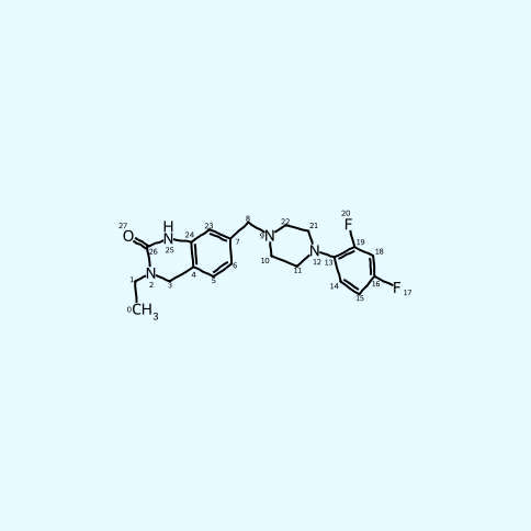 CCN1Cc2ccc(CN3CCN(c4ccc(F)cc4F)CC3)cc2NC1=O